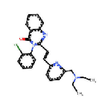 CCN(CC)Cc1cccc(/C=C/c2nc3ccccc3c(=O)n2-c2ccccc2Cl)n1